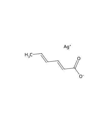 CC=CC=CC(=O)[O-].[Ag+]